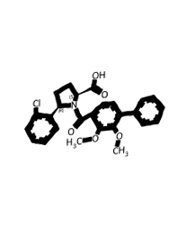 COc1c(C(=O)N2[C@@H](c3ccccc3Cl)CC[C@H]2C(=O)O)ccc(-c2ccccc2)c1OC